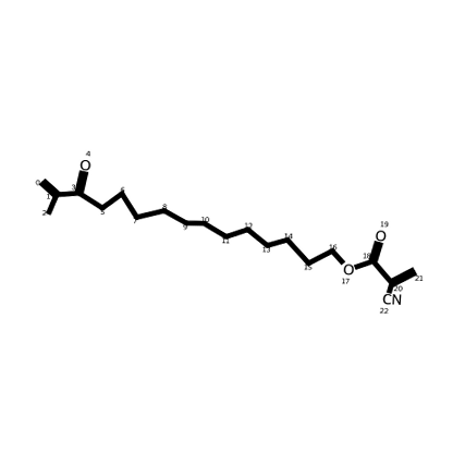 C=C(C)C(=O)CCCCCCCCCCCCOC(=O)C(=C)C#N